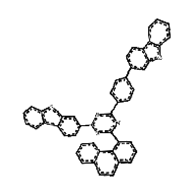 c1ccc2c(c1)ccc1cccc(-c3nc(-c4ccc(-c5ccc6c(c5)oc5ccccc56)cc4)nc(-c4ccc5c(c4)sc4ccccc45)n3)c12